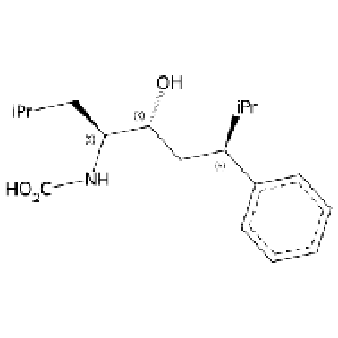 CC(C)C[C@H](NC(=O)O)[C@H](O)C[C@H](c1ccccc1)C(C)C